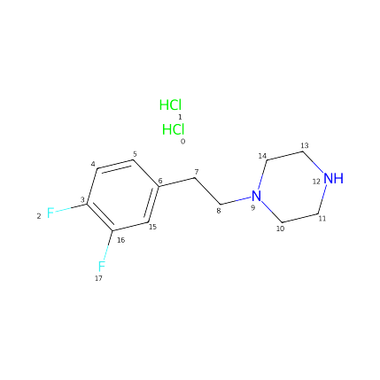 Cl.Cl.Fc1ccc(CCN2CCNCC2)cc1F